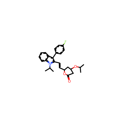 CC(C)OC1CC(=O)OC(/C=C/c2c(-c3ccc(F)cc3)c3ccccc3n2C(C)C)C1